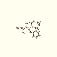 COC(=O)c1ccc(C[C@@H]2CO2)cc1Oc1ccccc1N